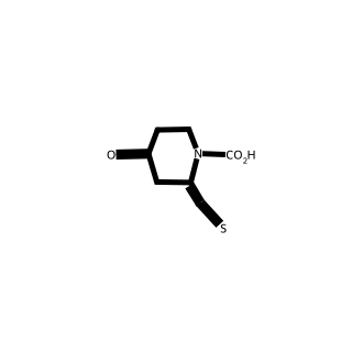 O=C1CCN(C(=O)O)C(=C=S)C1